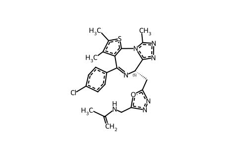 C=C(C)NCc1nnc(C[C@@H]2N=C(c3ccc(Cl)cc3)c3c(sc(C)c3C)-n3c(C)nnc32)o1